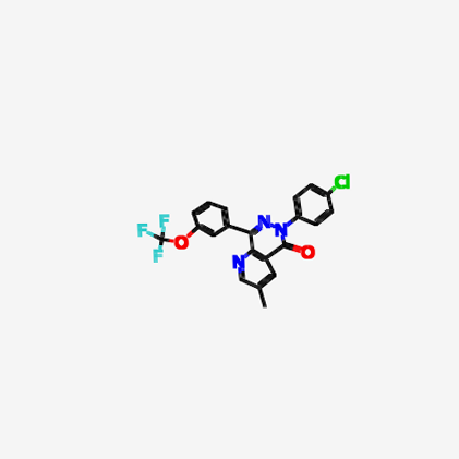 Cc1cnc2c(-c3cccc(OC(F)(F)F)c3)nn(-c3ccc(Cl)cc3)c(=O)c2c1